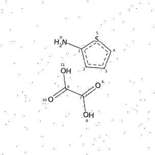 Nc1cccs1.O=C(O)C(=O)O